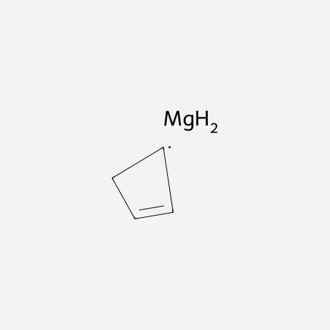 [CH]1C=CC1.[MgH2]